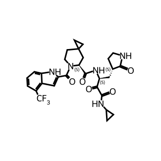 O=C(NC1CC1)C(=O)[C@H](C[C@@H]1CCNC1=O)NC(=O)[C@@H]1CC2(CCN1C(=O)c1cc3c(C(F)(F)F)cccc3[nH]1)CC2